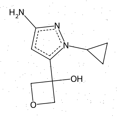 Nc1cc(C2(O)COC2)n(C2CC2)n1